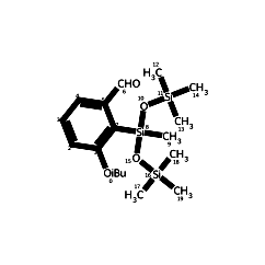 CC(C)COc1cccc(C=O)c1[Si](C)(O[Si](C)(C)C)O[Si](C)(C)C